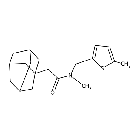 Cc1ccc(CN(C)C(=O)CC23CC4CC(CC(C4)C2)C3)s1